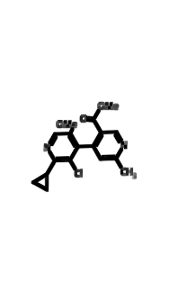 COC(=O)c1cnc(C)cc1-c1c(OC)cnc(C2CC2)c1Cl